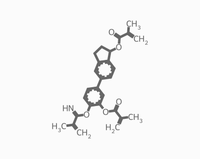 C=C(C)C(=N)Oc1ccc(-c2ccc3c(c2)CCC3OC(=O)C(=C)C)cc1OC(=O)C(=C)C